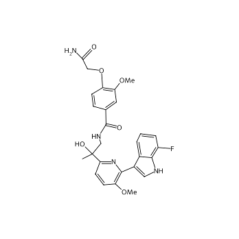 COc1cc(C(=O)NCC(C)(O)c2ccc(OC)c(-c3c[nH]c4c(F)cccc34)n2)ccc1OCC(N)=O